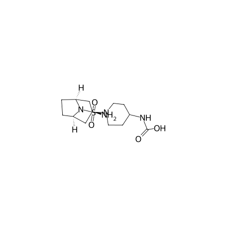 N[C@H]1C[C@H]2CC[C@@H](C1)N2S(=O)(=O)N1CCC(NC(=O)O)CC1